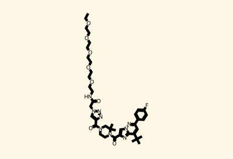 CCOCCOCCOCCOCCOCCNC(=O)Cn1cc(C(=O)N2CCN(C(=O)c3cn4nc(-c5ccc(F)cc5)cc(C(C)(C)C)c4n3)C(C)(C)C2)nn1